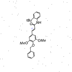 COc1cc(/C=C/C(=O)Nc2ccccc2C(C)(C)C)cc(OC)c1OCc1ccccc1